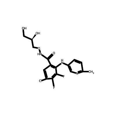 Cc1ccc(Nc2c(C(=O)NOC[C@H](O)CO)cc(Cl)c(F)c2F)cn1